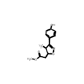 COC(=O)CC1ON=C(c2ccc(O)cc2)C1C